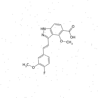 COc1cc(C=Cc2n[nH]c3ccc(C(=O)O)c(OC)c23)ccc1F